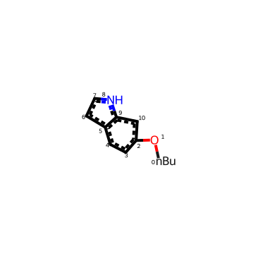 CCCCOc1ccc2cc[nH]c2c1